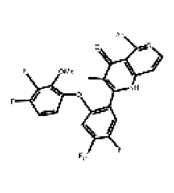 COc1c(Oc2cc(C(F)(F)F)c(F)cc2-c2[nH]c3ccnc(C(C)=O)c3c(=O)c2C)ccc(F)c1F